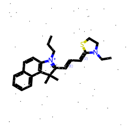 CCC[N+]1=C(/C=C/C=C2\SCCN2CC)C(C)(C)c2c1ccc1ccccc21